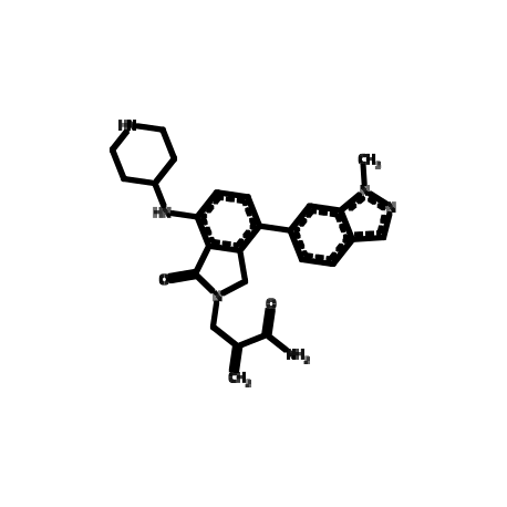 C=C(CN1Cc2c(-c3ccc4cnn(C)c4c3)ccc(NC3CCNCC3)c2C1=O)C(N)=O